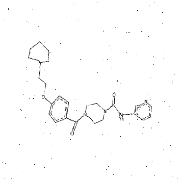 O=C(Nc1cccnc1)N1CCN(C(=O)c2ccc(OCCC3CCCCC3)cc2)CC1